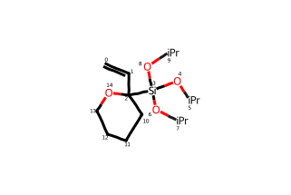 C=CC1([Si](OC(C)C)(OC(C)C)OC(C)C)CCCCO1